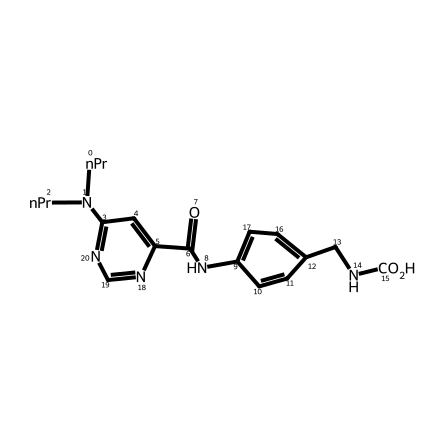 CCCN(CCC)c1cc(C(=O)Nc2ccc(CNC(=O)O)cc2)ncn1